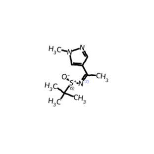 C/C(=N/[S@+]([O-])C(C)(C)C)c1cnn(C)c1